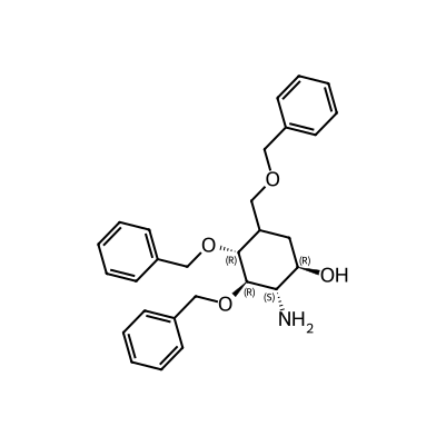 N[C@@H]1[C@@H](OCc2ccccc2)[C@H](OCc2ccccc2)C(COCc2ccccc2)C[C@H]1O